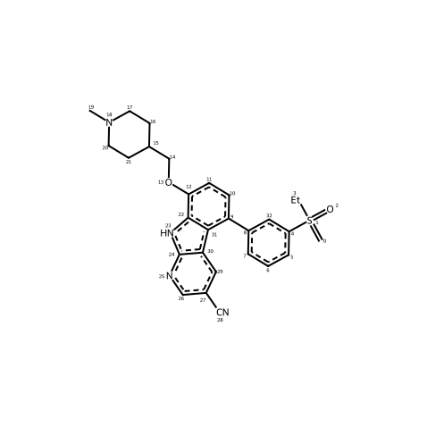 C=S(=O)(CC)c1cccc(-c2ccc(OCC3CCN(C)CC3)c3[nH]c4ncc(C#N)cc4c23)c1